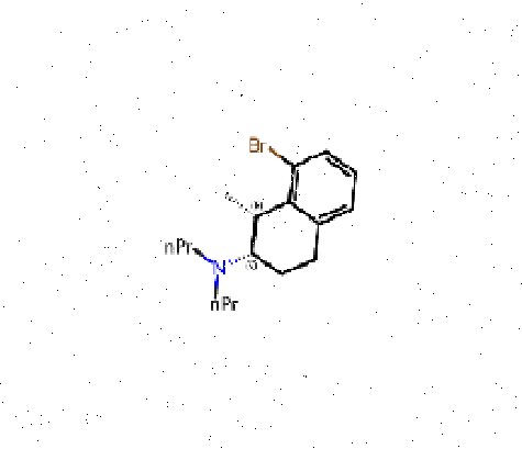 CCCN(CCC)[C@H]1CCc2cccc(Br)c2[C@H]1C